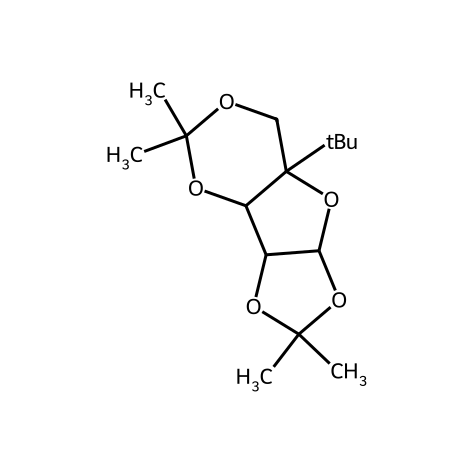 CC1(C)OC2OC3(C(C)(C)C)COC(C)(C)OC3C2O1